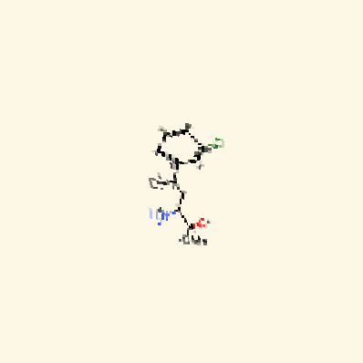 CCC(CC(N)C(=O)OC)c1cccc(Cl)c1